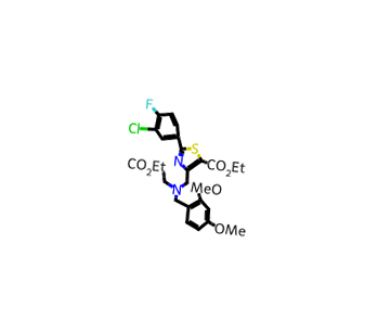 CCOC(=O)CN(Cc1ccc(OC)cc1OC)Cc1nc(-c2ccc(F)c(Cl)c2)sc1C(=O)OCC